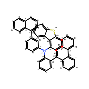 c1cc(-c2cccc3ccccc23)cc(N(c2ccccc2-c2cc3ccccc3c3ccccc23)c2cccc3sc4ccccc4c23)c1